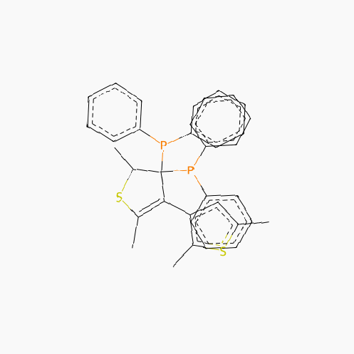 CC1=C(c2cc(C)sc2C)C(P(c2ccccc2)c2ccccc2)(P(c2ccccc2)c2ccccc2)C(C)S1